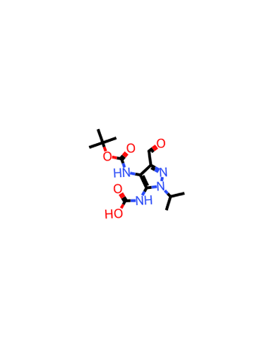 CC(C)n1nc(C=O)c(NC(=O)OC(C)(C)C)c1NC(=O)O